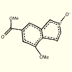 COC(=O)c1cc(OC)c2cc[n+]([O-])cc2c1